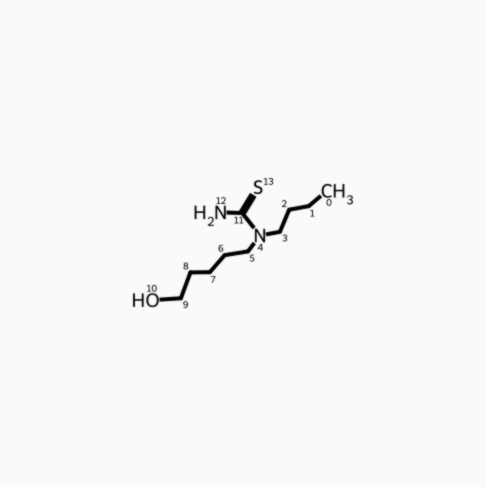 CCCCN(CCCCCO)C(N)=S